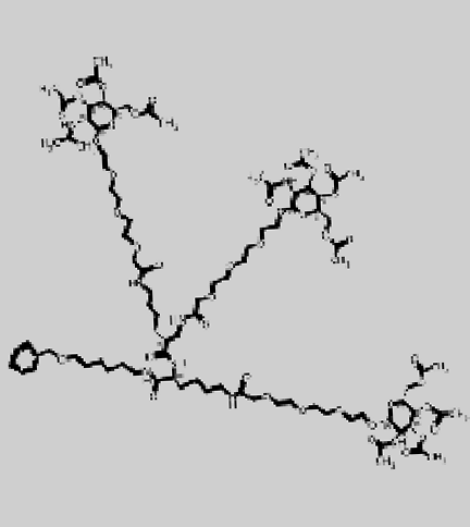 CC(=O)N[C@H]1[C@H](OCCOCCOCCOCC(=O)NCCCC[C@H](NC(=O)[C@H](CCCCNC(=O)COCCOCCOCCO[C@@H]2O[C@H](COC(C)=O)[C@H](OC(C)=O)[C@H](OC(C)=O)[C@H]2NC(C)C)CNC(=O)COCCOCCOCCO[C@@H]2O[C@H](COC(C)=O)[C@H](OC(C)=O)[C@H](OC(C)=O)[C@H]2NC(C)=O)C(=O)NCCCCCCOCc2ccccc2)O[C@H](COC(C)=O)[C@H](OC(C)=O)[C@@H]1OC(C)=O